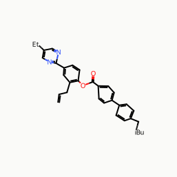 C=CCc1cc(-c2ncc(CC)cn2)ccc1OC(=O)c1ccc(-c2ccc(CC(C)CC)cc2)cc1